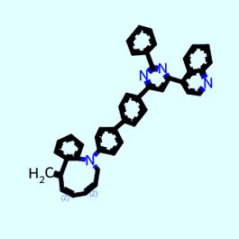 C=C1/C=C\C=C/CN(c2ccc(-c3ccc(-c4cc(-c5ccnc6ccccc56)nc(-c5ccccc5)n4)cc3)cc2)c2ccccc21